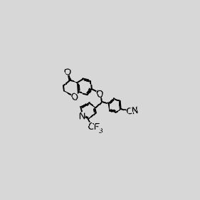 N#Cc1ccc(C(Oc2ccc3c(c2)OCCC3=O)c2ccnc(C(F)(F)F)c2)cc1